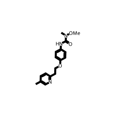 CON(C)C(=O)Nc1ccc(OCCc2ccc(C)cn2)cc1